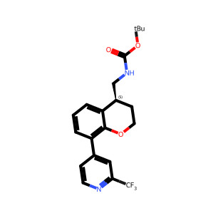 CC(C)(C)OC(=O)NC[C@H]1CCOc2c(-c3ccnc(C(F)(F)F)c3)cccc21